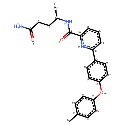 CC(=O)[C@H](CCC(N)=O)NC(=O)c1cccc(-c2ccc(Oc3ccc(C)cc3)cc2)n1